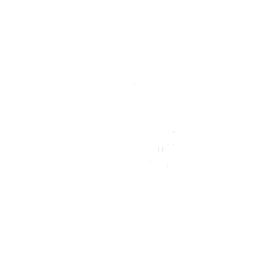 CC(C)(C)CCCCCC(=O)Cl.O=C(Cl)c1ccc(CCl)cc1